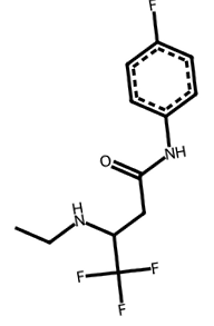 CCNC(CC(=O)Nc1ccc(F)cc1)C(F)(F)F